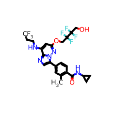 Cc1cc(-c2cnc3c(NCCC(F)(F)F)cc(OCC(F)(F)C(F)(F)CO)nn23)ccc1C(=O)NC1CC1